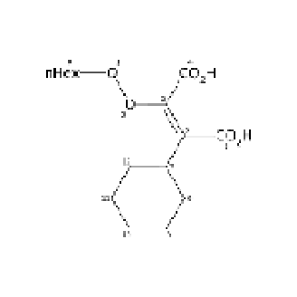 CCCCCCOOC(C(=O)O)=C(C(=O)O)C1CCCCC1